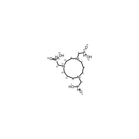 O=[PH](O)CN1CCCN(C[PH](=O)O)CCN(C[PH](=O)O)CCC1